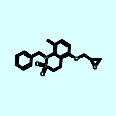 Cc1ccc(OCC2CO2)c2c1N(Cc1ccccc1)S(=O)(=O)CC2